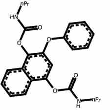 CCCNC(=O)Oc1cc(Oc2ccccc2)c(OC(=O)NCCC)c2ccccc12